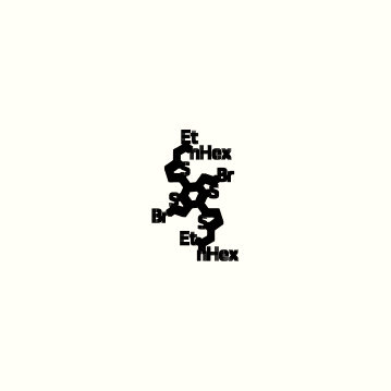 CCCCCCC(CC)Cc1ccc(-c2c3cc(Br)sc3c(-c3ccc(CC(CC)CCCCCC)s3)c3cc(Br)sc23)s1